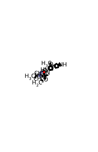 C=CCn1c(=O)c2cnc(Nc3ccc(N4CCC5(CC4)CNC5)c(OC)c3)nc2n1C(/C=C\C=O)=N/N(C)C(C)C